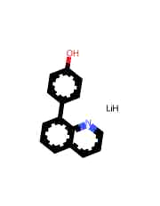 Oc1ccc(-c2cccc3cccnc23)cc1.[LiH]